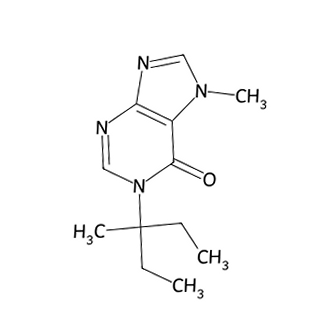 CCC(C)(CC)n1cnc2ncn(C)c2c1=O